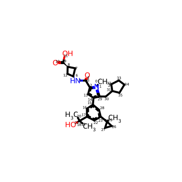 Cn1c(C(=O)N[C@H]2C[C@H](C(=O)O)C2)cc(-c2cc(C(C)(C)O)cc(C3(C)CC3)c2)c1CC1CCCC1